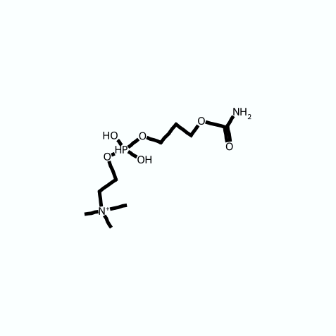 C[N+](C)(C)CCO[PH](O)(O)OCCCOC(N)=O